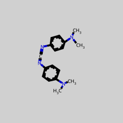 CN(C)c1ccc(N=C=Nc2ccc(N(C)C)cc2)cc1